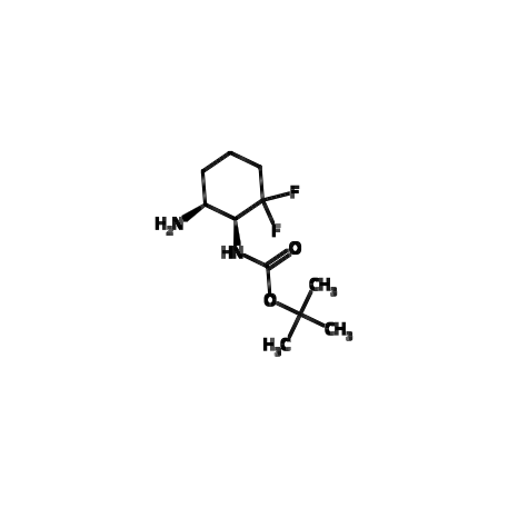 CC(C)(C)OC(=O)N[C@H]1[C@@H](N)CCCC1(F)F